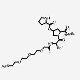 CCNC(=O)C1CC(OC(=O)C2CCCN2)CN1C(=O)C(NC(=O)COCCOCCOCCNC)C(C)(C)C